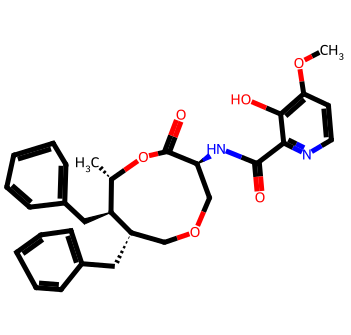 COc1ccnc(C(=O)N[C@H]2COC[C@H](Cc3ccccc3)[C@@H](Cc3ccccc3)[C@H](C)OC2=O)c1O